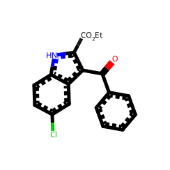 CCOC(=O)c1[nH]c2ccc(Cl)cc2c1C(=O)c1ccccc1